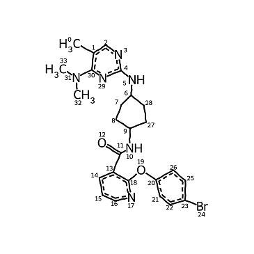 Cc1cnc(NC2CCC(NC(=O)c3cccnc3Oc3ccc(Br)cc3)CC2)nc1N(C)C